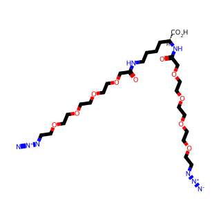 [N-]=[N+]=NCCOCCOCCOCCOCC(=O)NCCCC[C@@H](NC(=O)COCCOCCOCCOCCN=[N+]=[N-])C(=O)O